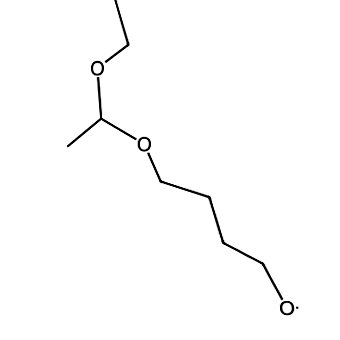 CCOC(C)OCCCC[O]